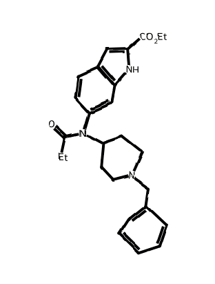 CCOC(=O)c1cc2ccc(N(C(=O)CC)C3CCN(Cc4ccccc4)CC3)cc2[nH]1